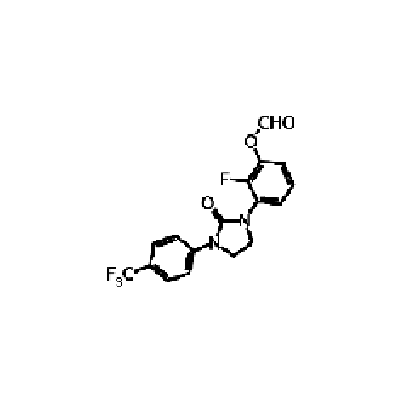 O=COc1cccc(N2CCN(c3ccc(C(F)(F)F)cc3)C2=O)c1F